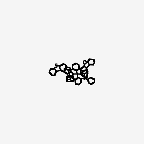 c1ccc(N(c2ccc3sc4ccccc4c3c2)c2cccc3c2C2(c4ccccc4-3)c3c(cccc3N(c3ccccc3)c3ccc4oc5ccccc5c4c3)-c3sc4ccccc4c32)cc1